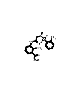 COC(=O)c1cccc(NC(=O)CN(C)S(=O)(=O)c2ccccc2C(F)(F)F)c1N